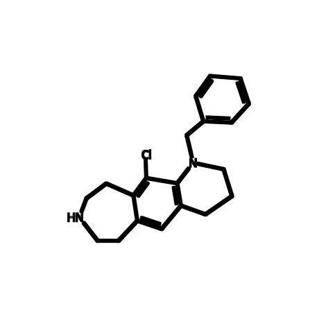 Clc1c2c(cc3c1N(Cc1ccccc1)CCC3)CCNCC2